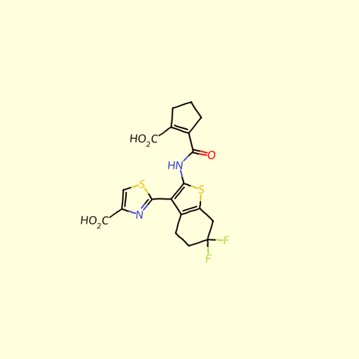 O=C(O)C1=C(C(=O)Nc2sc3c(c2-c2nc(C(=O)O)cs2)CCC(F)(F)C3)CCC1